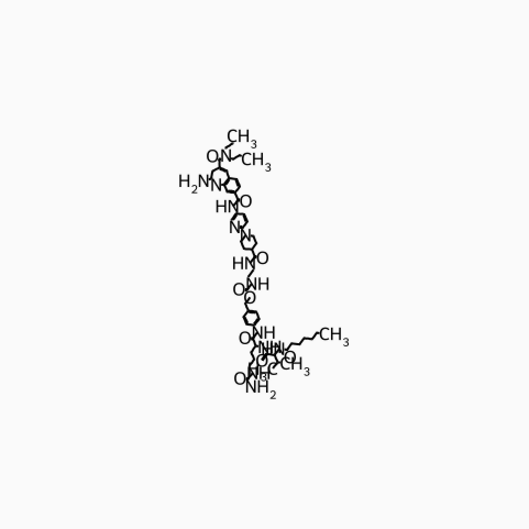 CCCCCCC(=O)NC(C(=O)NC(CCCNC(N)=O)C(=O)Nc1ccc(COC(=O)NCCNC(=O)C2CCN(c3ccc(NC(=O)c4ccc5c(c4)N=C(N)CC(C(=O)N(CCC)CCC)=C5)cn3)CC2)cc1)C(C)C